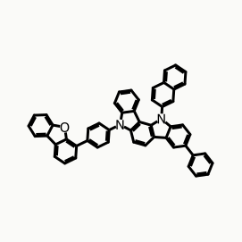 c1ccc(-c2ccc3c(c2)c2ccc4c(c5ccccc5n4-c4ccc(-c5cccc6c5oc5ccccc56)cc4)c2n3-c2ccc3ccccc3c2)cc1